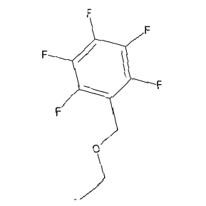 [CH2]COCc1c(F)c(F)c(F)c(F)c1F